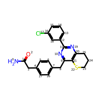 NC(=O)Cc1ccc(Cc2nc(-c3cccc(Cl)c3)nc3c2SCCC3)cc1